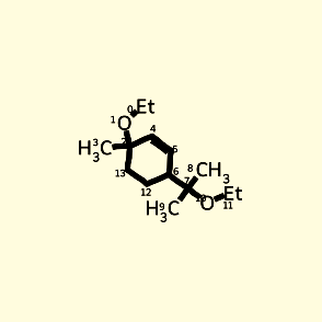 CCOC1(C)C=CC(C(C)(C)OCC)CC1